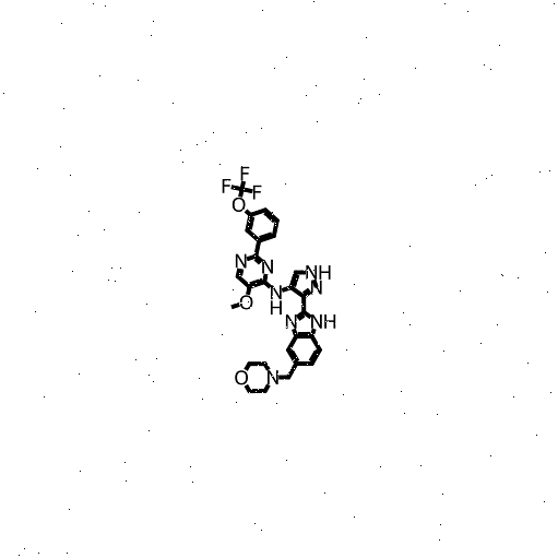 COc1cnc(-c2cccc(OC(F)(F)F)c2)nc1Nc1c[nH]nc1-c1nc2cc(CN3CCOCC3)ccc2[nH]1